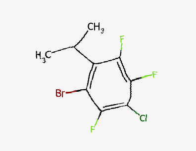 CC(C)c1c(F)c(F)c(Cl)c(F)c1Br